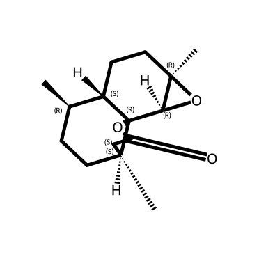 C[C@@H]1CC[C@H]2[C@H](C)C(=O)O[C@]23[C@H]1CC[C@@]1(C)O[C@@H]31